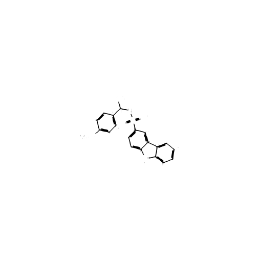 COc1ccc(C(NS(=O)(=O)c2ccc3oc4ccccc4c3c2)C(=O)O)cc1